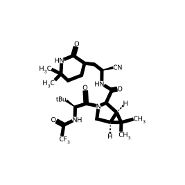 CC1(C)CCC(C[C@@H](C#N)NC(=O)C2[C@@H]3[C@H](CN2C(=O)[C@@H](NC(=O)C(F)(F)F)C(C)(C)C)C3(C)C)C(=O)N1